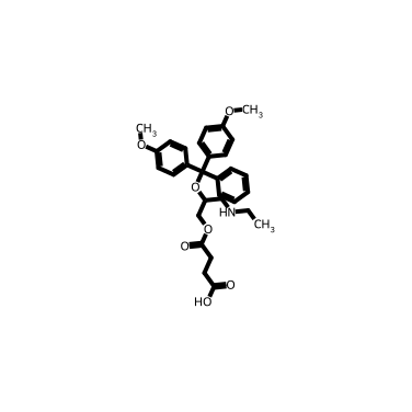 CCNCC(COC(=O)CCC(=O)O)OC(c1ccccc1)(c1ccc(OC)cc1)c1ccc(OC)cc1